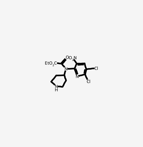 CCOC(=O)C(=O)N(c1nc(Cl)c(Cl)cc1[N+](=O)[O-])C1CCNCC1